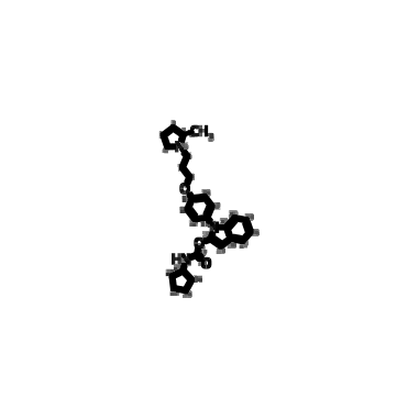 C[C@@H]1CCCN1CCCOc1ccc(-n2c(OC(=O)NC3CCCC3)cc3ccccc32)cc1